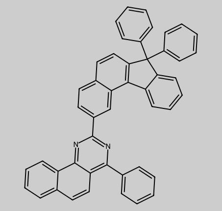 c1ccc(-c2nc(-c3ccc4ccc5c(c4c3)-c3ccccc3C5(c3ccccc3)c3ccccc3)nc3c2ccc2ccccc23)cc1